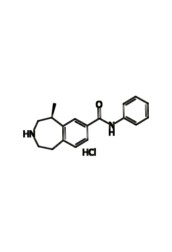 C[C@@H]1CNCCc2ccc(C(=O)Nc3ccccc3)cc21.Cl